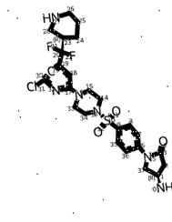 N[C@@H]1CC(=O)N(c2ccc(S(=O)(=O)N3CCN(c4cc(C(F)(F)[C@@H]5CCCNC5)cc(Cl)n4)CC3)cc2)C1